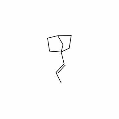 CC=CC12CCC(CC1)C2